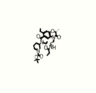 CCC(=O)NCCN1C(=O)[C@@H](C)Oc2cc(CC)c(C(=O)N(CC)[C@@H]3CCCN(C(=O)OC(C)(C)C)C3)cc21